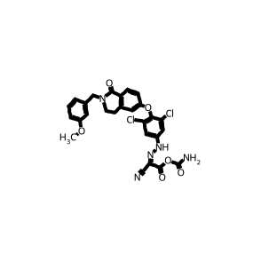 COc1cccc(CN2CCc3cc(Oc4c(Cl)cc(NN=C(C#N)C(=O)OC(N)=O)cc4Cl)ccc3C2=O)c1